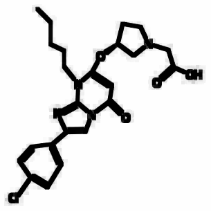 CCCCCn1c(O[C@H]2CCN(CC(=O)O)C2)cc(=O)n2cc(-c3ccc(Cl)cc3)nc12